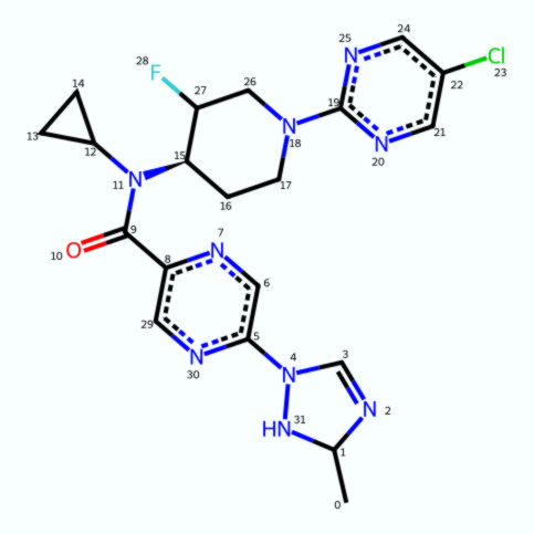 CC1N=CN(c2cnc(C(=O)N(C3CC3)[C@@H]3CCN(c4ncc(Cl)cn4)CC3F)cn2)N1